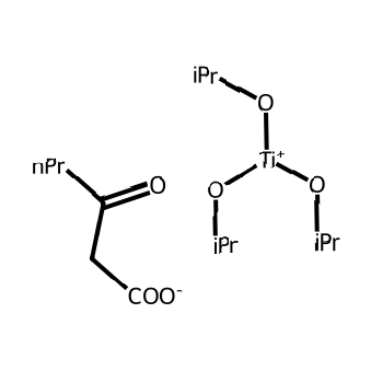 CC(C)[O][Ti+]([O]C(C)C)[O]C(C)C.CCCC(=O)CC(=O)[O-]